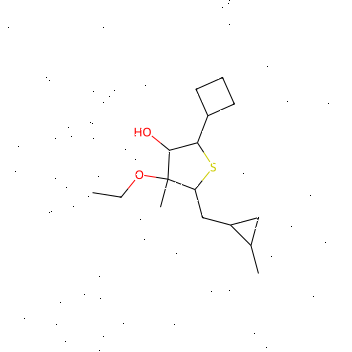 CCOC1(C)C(CC2CC2C)SC(C2CCC2)C1O